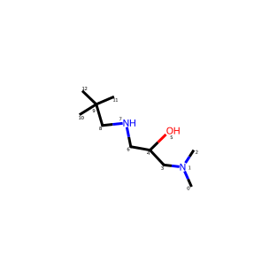 CN(C)CC(O)CNCC(C)(C)C